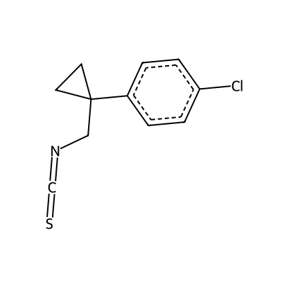 S=C=NCC1(c2ccc(Cl)cc2)CC1